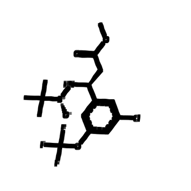 COC(=O)C[C@H](N[S@+]([O-])C(C)(C)C)c1cc(Cl)cc(OC(F)(F)F)c1